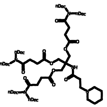 CCCCCCCCCCN(CCCCCCCCCC)C(=O)CCC(=O)OCC(COC(=O)CCC(=O)N(CCCCCCCCCC)CCCCCCCCCC)(COC(=O)CCC(=O)N(CCCCCCCCCC)CCCCCCCCCC)NC(=O)CCN1CCCCC1